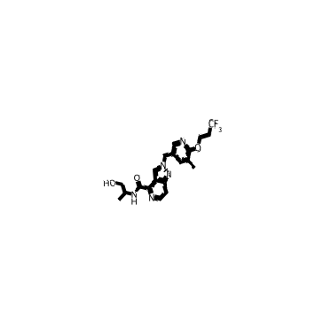 Cc1cc(Cn2cc3c(C(=O)NC(C)CO)nccc3n2)cnc1OCCC(F)(F)F